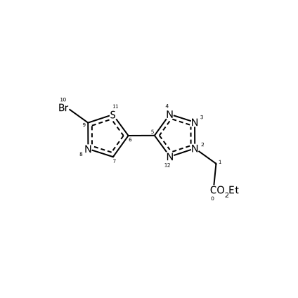 CCOC(=O)Cn1nnc(-c2cnc(Br)s2)n1